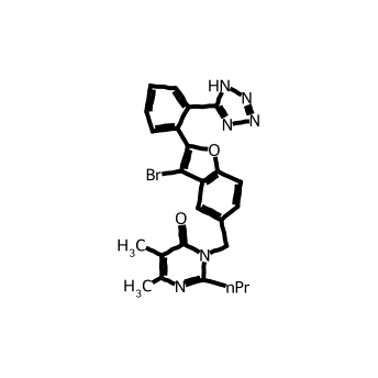 CCCc1nc(C)c(C)c(=O)n1Cc1ccc2oc(-c3ccccc3-c3nnn[nH]3)c(Br)c2c1